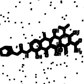 CC1c2ccc(NC(=O)CN3CC4CCC3C4)c(O)c2C(=O)C2=C(O)[C@@]3(O)C(=O)C(C(N)=O)=C(O)[C@H](N(C)C)C3C(O)C21